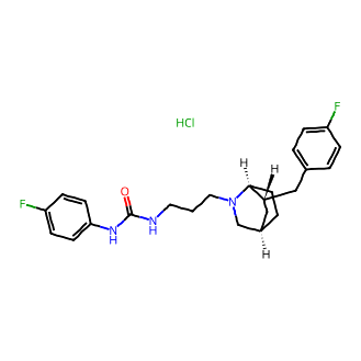 Cl.O=C(NCCCN1C[C@@H]2CC[C@H]1[C@H](Cc1ccc(F)cc1)C2)Nc1ccc(F)cc1